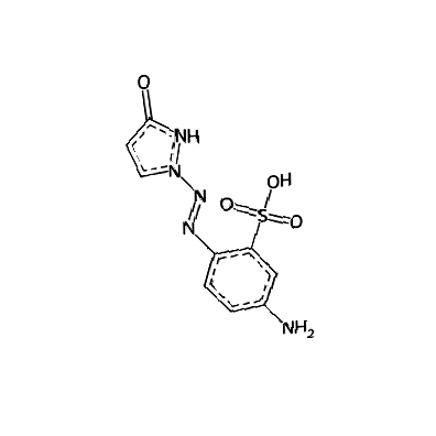 Nc1ccc(/N=N/n2ccc(=O)[nH]2)c(S(=O)(=O)O)c1